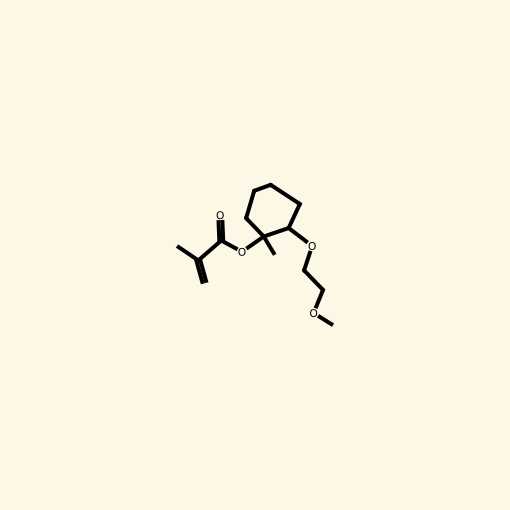 C=C(C)C(=O)OC1(C)CCCCC1OCCOC